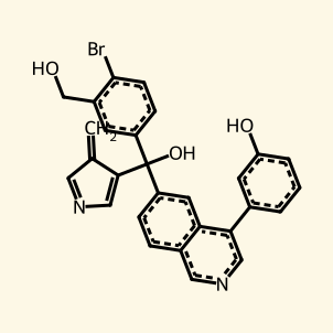 C=C1C=NC=C1C(O)(c1ccc(Br)c(CO)c1)c1ccc2cncc(-c3cccc(O)c3)c2c1